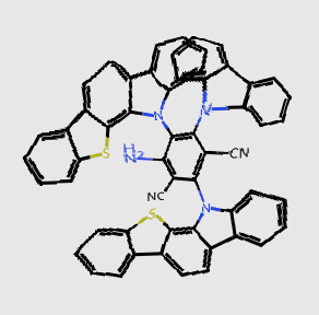 N#Cc1c(N)c(-n2c3ccccc3c3ccc4c5ccccc5sc4c32)c(-n2c3ccccc3c3ccccc32)c(C#N)c1-n1c2ccccc2c2ccc3c4ccccc4sc3c21